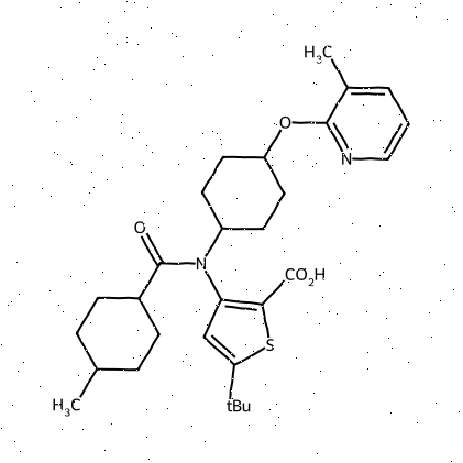 Cc1cccnc1OC1CCC(N(C(=O)C2CCC(C)CC2)c2cc(C(C)(C)C)sc2C(=O)O)CC1